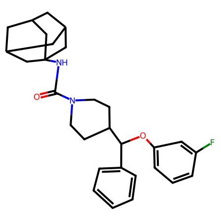 O=C(NC12CC3CC(CC(C3)C1)C2)N1CCC(C(Oc2cccc(F)c2)c2ccccc2)CC1